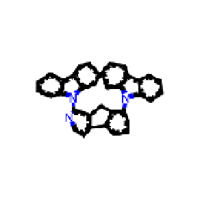 c1cc2c(c(-n3c4ccccc4c4ccccc43)c1)Cc1c-2ccnc1-n1c2ccccc2c2ccccc21